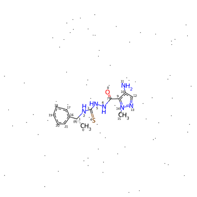 C[C@@H](NC(=S)NNC(=O)c1c(N)cnn1C)c1ccccc1